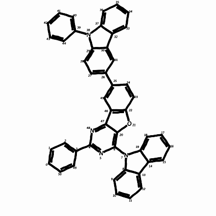 c1ccc(-c2nc(-n3c4ccccc4c4ccccc43)c3oc4ccc(-c5ccc6c(c5)c5ccccc5n6-c5ccccc5)cc4c3n2)cc1